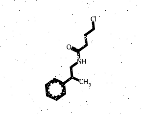 CC(CNC(=O)CCCCl)c1ccccc1